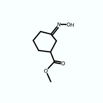 COC(=O)C1CCCC(=NO)C1